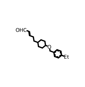 CCc1ccc(COC2CCC(CCC=CC=O)CC2)cc1